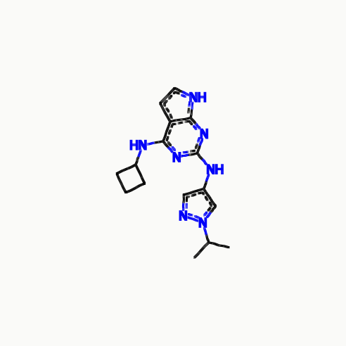 CC(C)n1cc(Nc2nc(NC3CCC3)c3cc[nH]c3n2)cn1